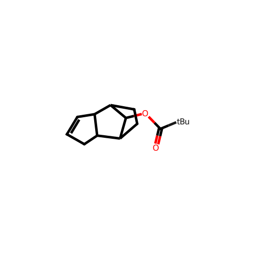 CC(C)(C)C(=O)OC1C2CCC1C1CC=CC12